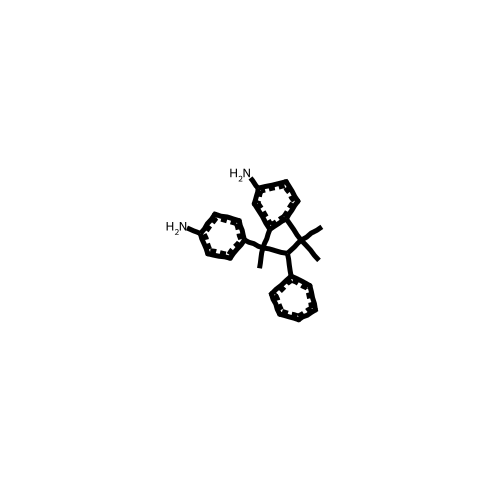 CC1(C)c2ccc(N)cc2C(C)(c2ccc(N)cc2)C1c1ccccc1